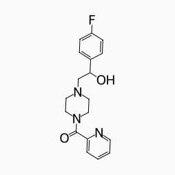 O=C(c1ccccn1)N1CCN(CC(O)c2ccc(F)cc2)CC1